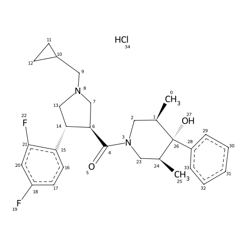 C[C@@H]1CN(C(=O)[C@@H]2CN(CC3CC3)C[C@H]2c2ccc(F)cc2F)C[C@H](C)[C@]1(O)c1ccccc1.Cl